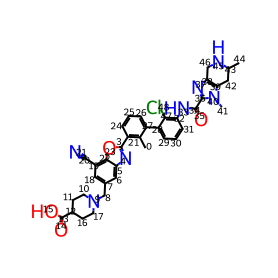 Cc1c(-c2nc3cc(CN4CCC(C(=O)O)CC4)cc(C#N)c3o2)cccc1-c1cccc(NC(=O)c2nc3c(n2C)CC(C)NC3)c1Cl